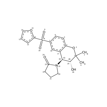 CC1(C)Oc2ccc(S(=O)(=O)c3ccco3)cc2[C@H](N2CCCC2=O)[C@H]1O